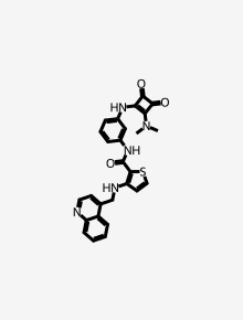 CN(C)c1c(Nc2cccc(NC(=O)c3sccc3NCc3ccnc4ccccc34)c2)c(=O)c1=O